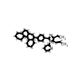 C=Cc1nc(-c2ccc(-c3cc4ccc5ccccc5c4c4ccccc34)cc2)n(-c2ccccn2)c1C=CC